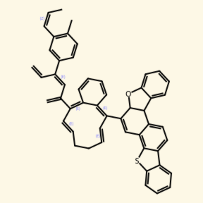 C=C/C(=C\C(=C)C1=c2\cccc\c2=C(C2=Cc3c(ccc4c3sc3ccccc34)C3c4ccccc4OC23)\C=C\CC\C=C\1)c1ccc(C)c(/C=C\C)c1